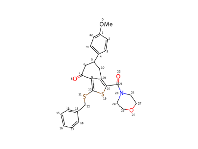 COc1ccc(C2CC(=O)c3c(SCc4ccccc4)sc(C(=O)N4CCOCC4)c3C2)cc1